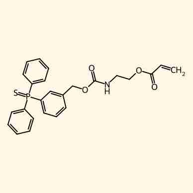 C=CC(=O)OCCNC(=O)OCc1cccc(P(=S)(c2ccccc2)c2ccccc2)c1